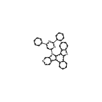 c1ccc(-c2cc(-n3c4cnccc4c4c5ccccc5c5sc6ccccc6c5c43)nc(-c3ccccc3)n2)cc1